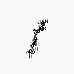 C[C@@H]1CN(CCOc2ccc(N3C(=S)N(c4ccc(C#N)c(Cl)c4)C(=O)C3(C)C)cc2C2CC2)C[C@H](C)N1CC(=O)Nc1cccc(NC2CCC(=O)NC2=O)c1